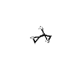 ClC1(C2CO2)CO1